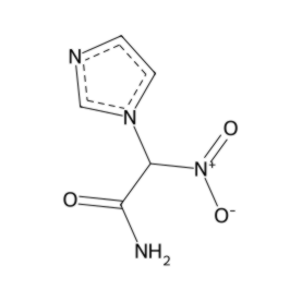 NC(=O)C(n1ccnc1)[N+](=O)[O-]